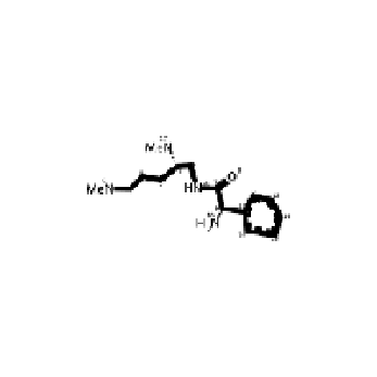 CNCCC[C@@H](CNC(=O)[C@@H](N)c1ccccc1)NC